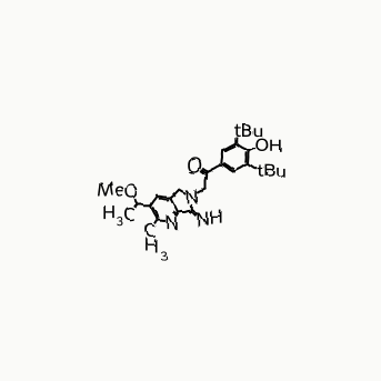 COC(C)c1cc2c(nc1C)C(=N)N(CC(=O)c1cc(C(C)(C)C)c(O)c(C(C)(C)C)c1)C2